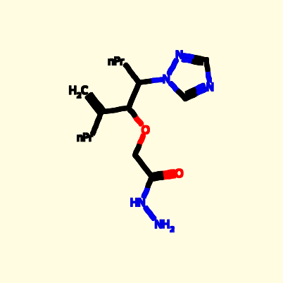 C=C(CCC)C(OCC(=O)NN)C(CCC)n1cncn1